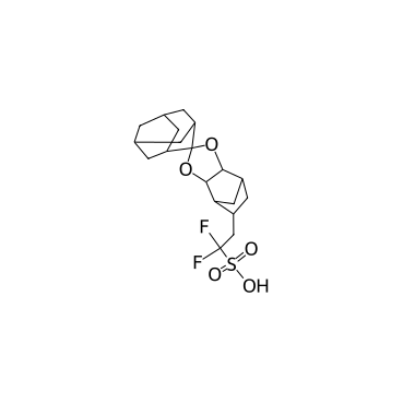 O=S(=O)(O)C(F)(F)CC1CC2CC1C1OC3(OC21)C1CC2CC(C1)CC3C2